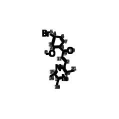 COc1cc(Br)ccc1C(=O)/C=C/c1nc(C)c(C)nc1C